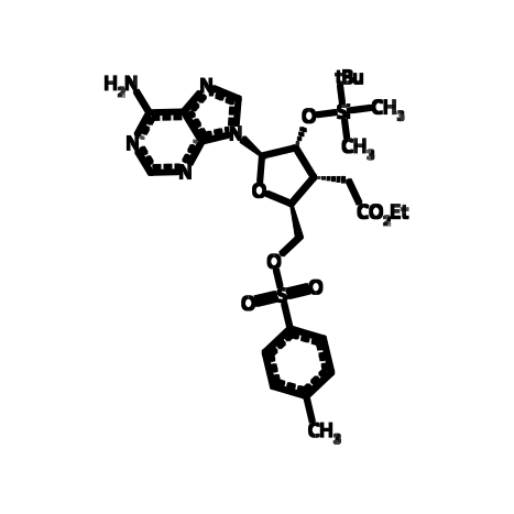 CCOC(=O)C[C@H]1[C@@H](O[Si](C)(C)C(C)(C)C)[C@H](n2cnc3c(N)ncnc32)O[C@@H]1COS(=O)(=O)c1ccc(C)cc1